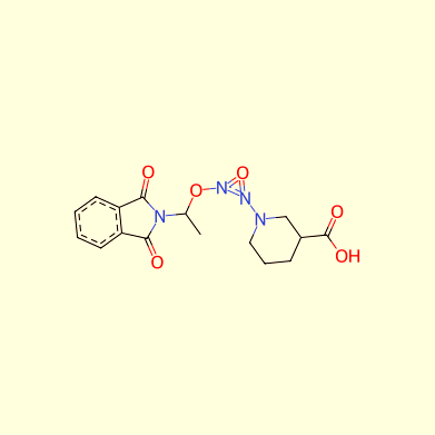 CC(On1on1N1CCCC(C(=O)O)C1)N1C(=O)c2ccccc2C1=O